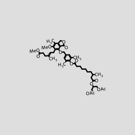 COC(=O)CC/C(C)=C/Cc1c(OC)c(C)c2c(c1OCc1cc(C)c(OC(=O)CCCCCCC(C)CC(=O)OC(COC(C)=O)COC(C)=O)c(C)c1)C(=O)OC2